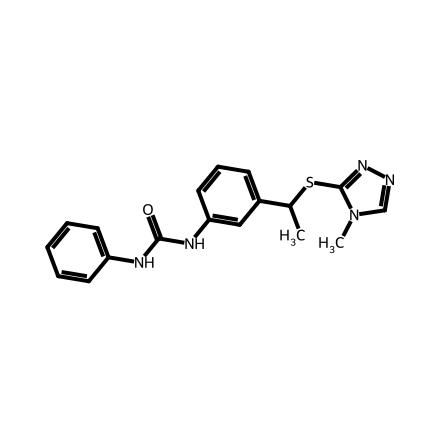 CC(Sc1nncn1C)c1cccc(NC(=O)Nc2ccccc2)c1